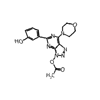 CC(=O)On1nnc2c(N3CCOCC3)nc(-c3cccc(O)c3)nc21